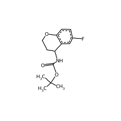 CC(C)(C)OC(=O)NC1CCOc2ccc(F)cc21